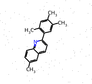 Cc1ccc2nc(-c3cc(C)c(C)cc3C)ccc2c1